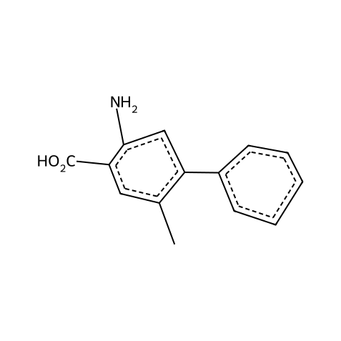 Cc1cc(C(=O)O)c(N)cc1-c1ccccc1